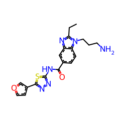 CCc1nc2cc(C(=O)Nc3nnc(-c4ccoc4)s3)ccc2n1CCCN